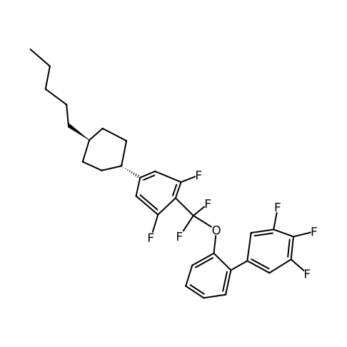 CCCCC[C@H]1CC[C@H](c2cc(F)c(C(F)(F)Oc3ccccc3-c3cc(F)c(F)c(F)c3)c(F)c2)CC1